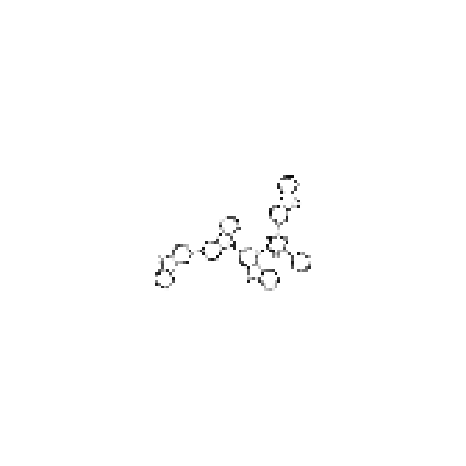 c1ccc(-c2nc(-c3ccc4c(c3)oc3ccccc34)nc(-c3cc(-n4c5ccccc5c5cc(-c6ccc7sc8ccccc8c7c6)ccc54)cc4sc5ccccc5c34)n2)cc1